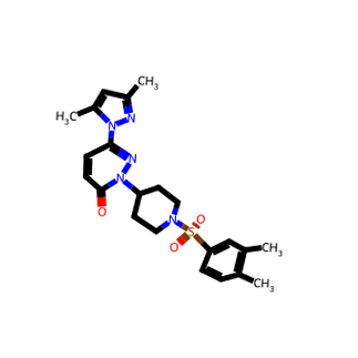 Cc1cc(C)n(-c2ccc(=O)n(C3CCN(S(=O)(=O)c4ccc(C)c(C)c4)CC3)n2)n1